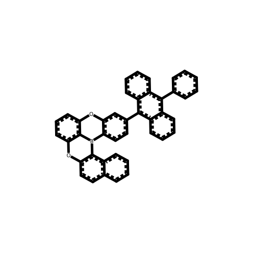 c1ccc(-c2c3ccccc3c(-c3ccc4c(c3)Oc3cccc5c3B4c3c(ccc4ccccc34)O5)c3ccccc23)cc1